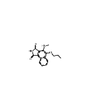 CCCOc1c(NC)c2c(c3ccccc13)C(=O)NC2=O